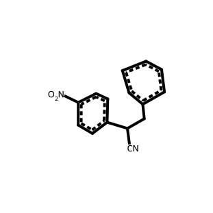 N#CC(Cc1ccccc1)c1ccc([N+](=O)[O-])cc1